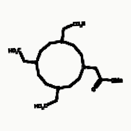 COC(=O)CN1CCN(CC(=O)O)CCN(CC(=O)O)CCN(CC(=O)O)CC1